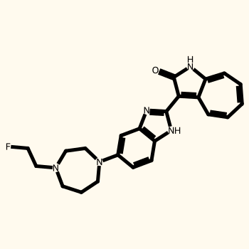 O=c1[nH]c2cccccc-2c1-c1nc2cc(N3CCCN(CCF)CC3)ccc2[nH]1